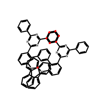 c1ccc(-c2nc(-c3ccccc3)nc(-c3cccc(-n4c5ccccc5c5ccccc54)c3-c3cccc(-c4c(-c5nc(-c6ccccc6)nc(-c6ccccc6)n5)cccc4-n4c5ccccc5c5ccccc54)c3)n2)cc1